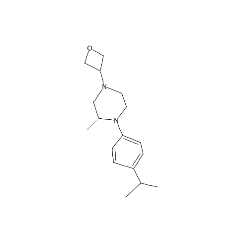 CC(C)c1ccc(N2CCN(C3COC3)C[C@H]2C)cc1